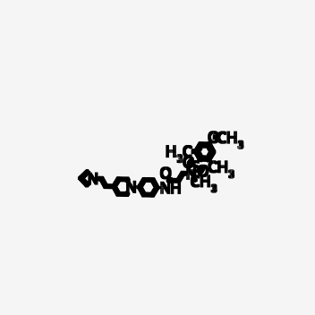 COc1cc(C)c(S(=O)(=O)N(C)CCC(=O)N[C@H]2CC[C@@H](N3CCC(CCN4CCC4)CC3)CC2)c(C)c1